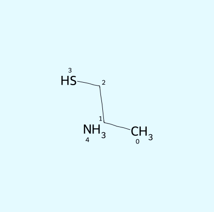 CCCS.N